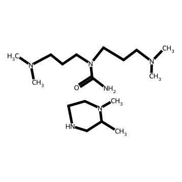 CC1CNCCN1C.CN(C)CCCN(CCCN(C)C)C(N)=O